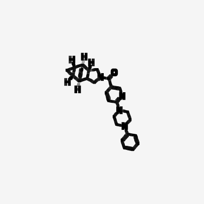 O=C(c1ccc(N2CCN(c3ccccc3)CC2)nc1)N1CC2[C@@H](C1)[C@H]1C=C[C@@H]2[C@@H]2C[C@H]12